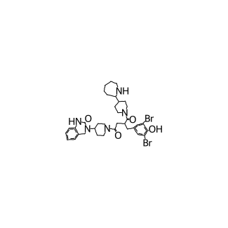 O=C(CC(Cc1cc(Br)c(O)c(Br)c1)C(=O)N1CCC(C2CCCCCN2)CC1)N1CCC(N2Cc3ccccc3NC2=O)CC1